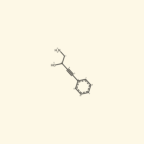 NCC(O)C#Cc1ccccc1